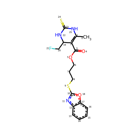 CC1=C(C(=O)OCCCSc2nc3ccccc3o2)C(CF)NC(=S)N1